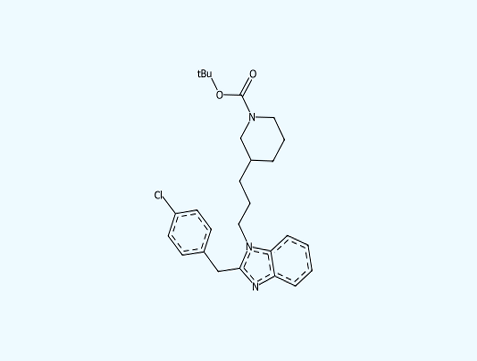 CC(C)(C)OC(=O)N1CCCC(CCCn2c(Cc3ccc(Cl)cc3)nc3ccccc32)C1